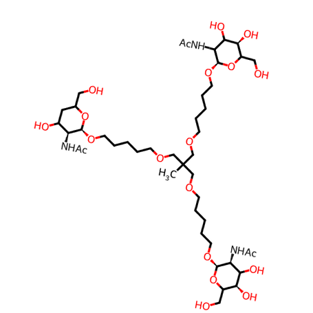 CC(=O)NC1C(O)[C@@H](O)C(CO)O[C@H]1OCCCCCOCC(C)(COCCCCCO[C@@H]1OC(CO)CC(O)[C@@H]1NC(C)=O)COCCCCCO[C@@H]1OC(CO)[C@H](O)C(O)[C@@H]1NC(C)=O